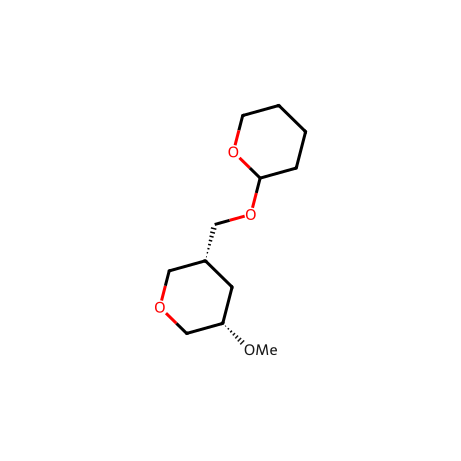 CO[C@@H]1COC[C@H](COC2CCCCO2)C1